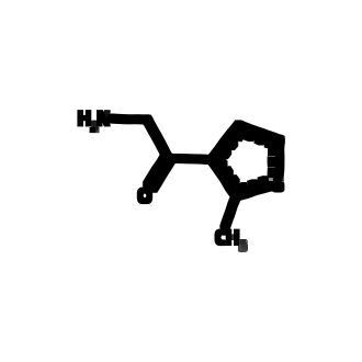 Cc1sccc1C(=O)CN